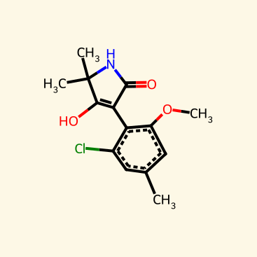 COc1cc(C)cc(Cl)c1C1=C(O)C(C)(C)NC1=O